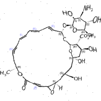 C[C@@H]1C/C=C/C=C/C=C/C=C/[C@H](O[C@@H]2O[C@H](C)[C@@H](O)[C@H](N)[C@@H]2O)CC2O[C@](O)(C[C@@H](O)C[C@H]3OC3/C=C/C(=O)O1)C[C@H](O)[C@H]2C(=O)O